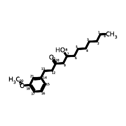 CCCCCCCC(O)CC(=O)CCc1cccc(OC)c1